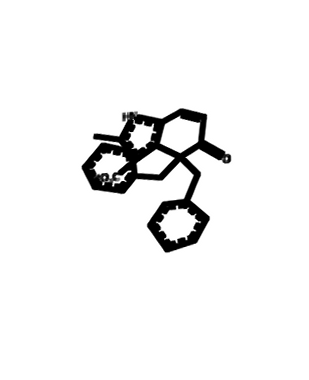 CCOC(=O)c1c(C)[nH]c2c1C(Cc1ccccc1)(Cc1ccccc1)C(=O)C=C2